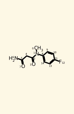 CN(C(=O)CC(N)=O)c1ccc(F)cc1